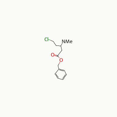 CNC(CCCl)CC(=O)OCc1ccccc1